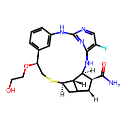 NC(=O)[C@H]1[C@H]2C[C@H]3[C@H]1Nc1nc(ncc1F)Nc1cccc(c1)[C@H](OCCO)CS[C@@H]3C2